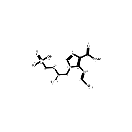 CNC(=O)c1ncn(C[C@@H](C)OCP(=O)(O)O)c1/N=C/N